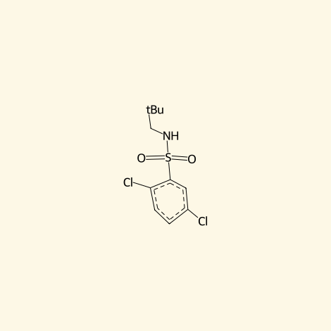 CC(C)(C)CNS(=O)(=O)c1cc(Cl)ccc1Cl